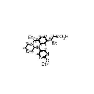 CCOc1ncc(Nc2cc([C@@H](CC)CC(=O)O)ccc2[C@@H](CC)N2CCOCC2)cn1